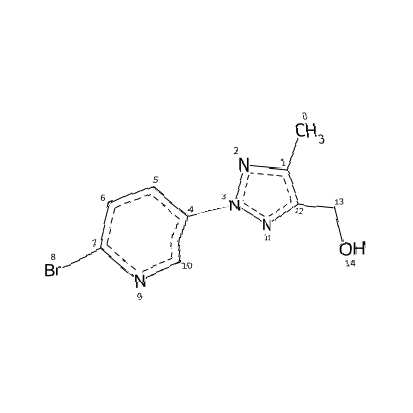 Cc1nn(-c2ccc(Br)nc2)nc1CO